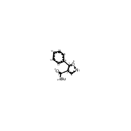 CCC(C)C(=O)c1cnoc1-c1ccccc1